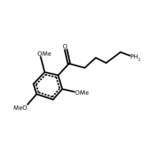 COc1cc(OC)c(C(=O)CCCCP)c(OC)c1